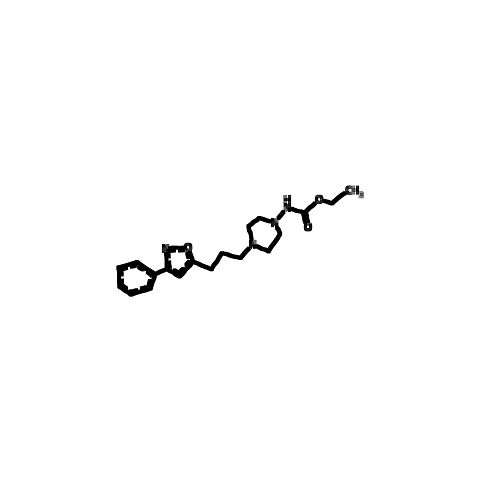 CCOC(=O)NN1CCN(CCCc2cc(-c3ccccc3)no2)CC1